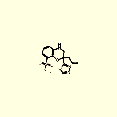 CCCC1(c2nnco2)CNc2cccc(S(N)(=O)=O)c2O1